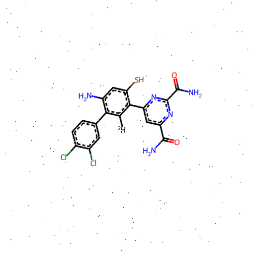 [2H]c1c(-c2ccc(Cl)c(Cl)c2)c(N)cc(S)c1-c1cc(C(N)=O)nc(C(N)=O)n1